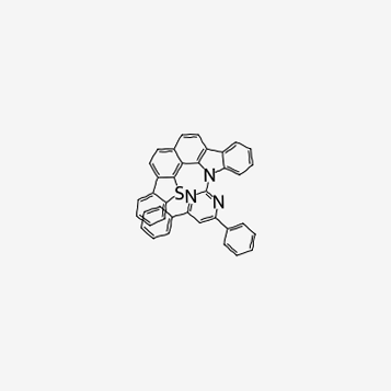 c1ccc(-c2cc(-c3ccccc3)nc(-n3c4ccccc4c4ccc5ccc6c7ccccc7sc6c5c43)n2)cc1